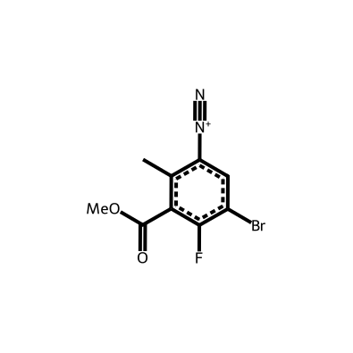 COC(=O)c1c(C)c([N+]#N)cc(Br)c1F